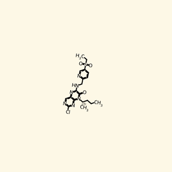 CCC[C@H](C)n1c(=O)c(NCc2ccc(S(=O)(=O)CC)cn2)nc2cnc(Cl)nc21